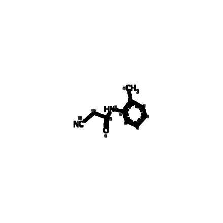 Cc1ccccc1NC(=O)CC#N